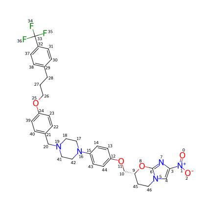 O=[N+]([O-])c1cn2c(n1)O[C@@H](COc1ccc(N3CCN(Cc4ccc(OCCCc5ccc(C(F)(F)F)cc5)cc4)CC3)cc1)CC2